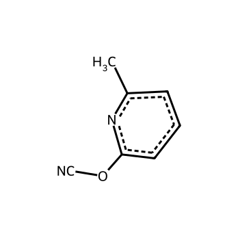 Cc1cccc(OC#N)n1